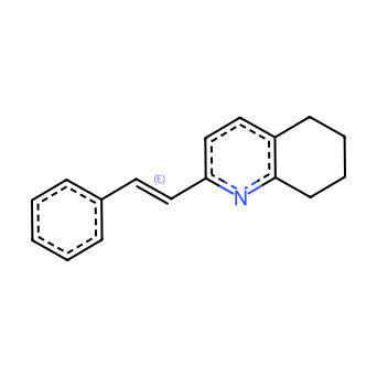 C(=C\c1ccc2c(n1)CCCC2)/c1ccccc1